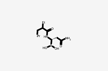 CCC(CC(C)C)C(=O)N[C@H](CC(N)=O)B(O)O